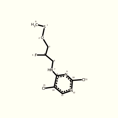 CSOCC(F)CNc1nc(Cl)ncc1Cl